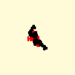 Cc1cc(Oc2c(O)cc(C)c3c2CCC(C)(CCCC(C)C)O3)cc2c1OC(C)(CCCC(C)C)CC2